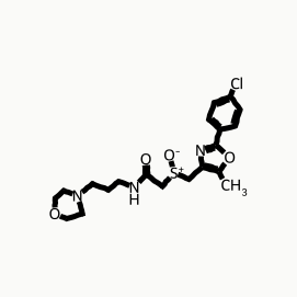 Cc1oc(-c2ccc(Cl)cc2)nc1C[S+]([O-])CC(=O)NCCCN1CCOCC1